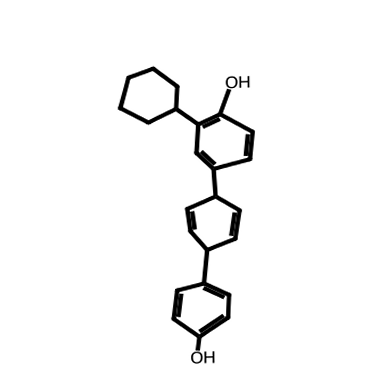 Oc1ccc(C2C=CC(c3ccc(O)c(C4CCCCC4)c3)C=C2)cc1